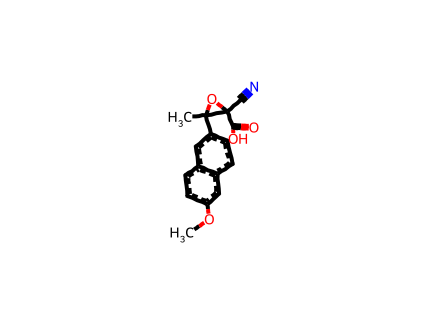 COc1ccc2cc(C3(C)OC3(C#N)C(=O)O)ccc2c1